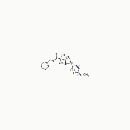 C=C(/C=C\C(F)=C/C)[C@H]1COC(C(C)(C)C(=O)OCc2ccccc2)=N1